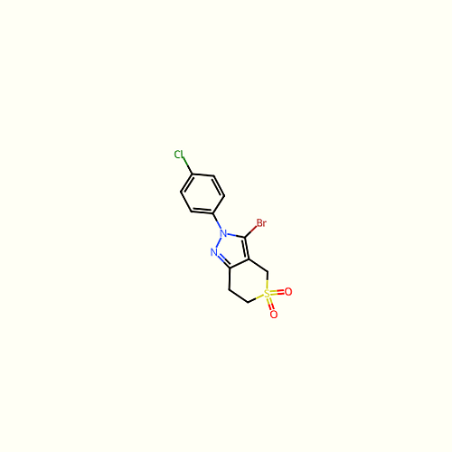 O=S1(=O)CCc2nn(-c3ccc(Cl)cc3)c(Br)c2C1